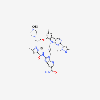 CCn1nc(C)cc1C(=O)Nc1nc2cc(C(N)=O)cnc2n1C/C=C/Cn1c2nc(-c3cc(C)nn3CC)ncc2c2cc(C)cc(OCCCN3CCN(C=O)CC3)c21